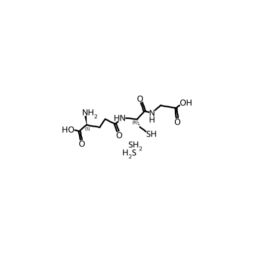 N[C@@H](CCC(=O)N[C@@H](CS)C(=O)NCC(=O)O)C(=O)O.S.S